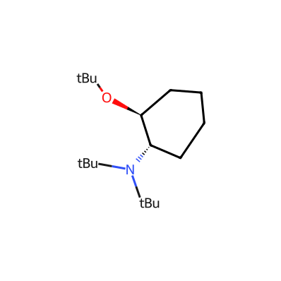 CC(C)(C)O[C@H]1CCCC[C@@H]1N(C(C)(C)C)C(C)(C)C